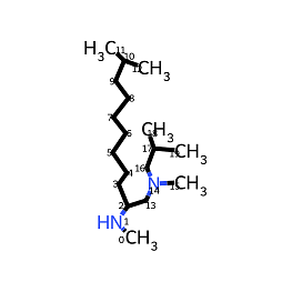 CNC(CCCCCCCC(C)C)CN(C)CC(C)C